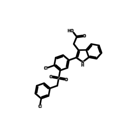 O=C(O)Cc1c(-c2ccc(Cl)c(S(=O)(=O)Cc3cccc(Cl)c3)c2)[nH]c2ccccc12